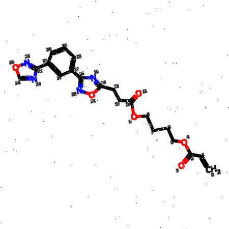 C=CC(=O)OCCCCOC(=O)CCc1nc(-c2cccc(-c3ncon3)c2)no1